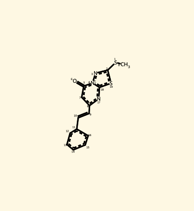 CSc1nn2c(=O)cc(/C=C/c3ccccc3)nc2s1